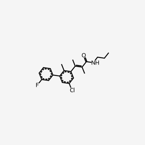 CCCNC(=O)/C(C)=C(\C)c1cc(Cl)cc(-c2cccc(F)c2)c1C